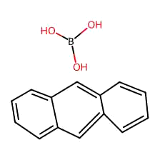 OB(O)O.c1ccc2cc3ccccc3cc2c1